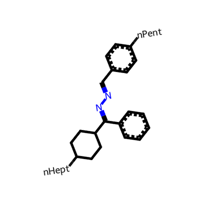 CCCCCCCC1CCC(C(=NN=Cc2ccc(CCCCC)cc2)c2ccccc2)CC1